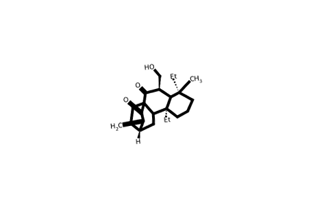 C=C1C(=O)C23CC[C@H]1CC2[C@]1(CC)CCC[C@@](C)(CC)C1[C@H](CO)C3=O